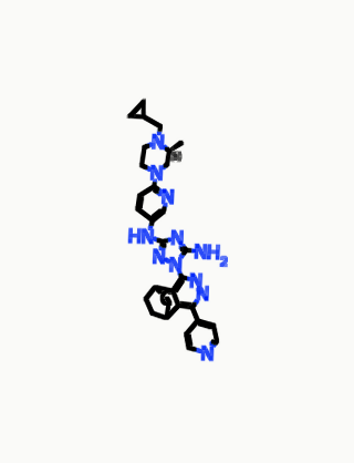 C[C@H]1CN(c2ccc(Nc3nc(N)n(-c4nnc(-c5ccncc5)c5c4C4CCC5CC4)n3)cn2)CCN1CC1CC1